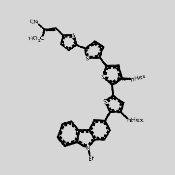 [C-]#[N+]/C(=C/c1ccc(-c2ccc(-c3cc(CCCCCC)c(-c4cc(CCCCCC)c(-c5ccc6c(c5)c5ccccc5n6CC)s4)s3)s2)s1)C(=O)O